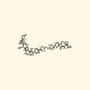 N#Cc1c(NS(=O)(=O)N2CC[C@@H](F)C2)ccc(F)c1Oc1ccc2ncn(-c3cnc(N4CCC(CCN5CCN(c6ccc7c(c6)C(=O)N(C6CCC(=O)NC6=O)C7=O)CC5)CC4)nc3)c(=O)c2c1